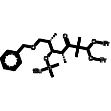 CC(C)OC(OC(C)C)C(C)(C)C(=O)[C@H](C)[C@@H](O[Si](C)(C)C(C)(C)C)[C@@H](C)COCc1ccccc1